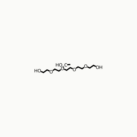 CC(=O)O.OCCOCCOCCOCCOCCO